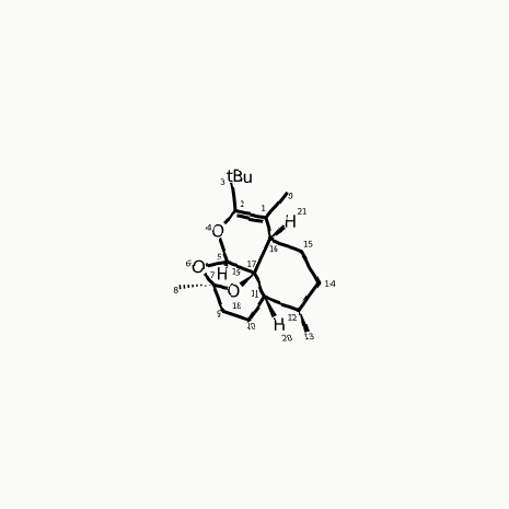 CC1=C(C(C)(C)C)O[C@@H]2O[C@]3(C)CC[C@H]4[C@H](C)CC[C@@H]1[C@@]24O3